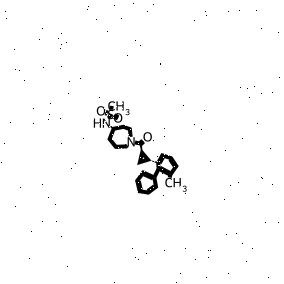 Cc1cccc([C@@H]2C[C@H]2C(=O)N2CCC[C@H](NS(C)(=O)=O)CC2)c1-c1ccccc1